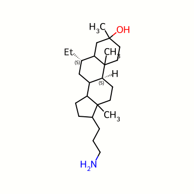 CC[C@H]1CC2C3CCC(CCCN)C3(C)CC[C@@H]2C2(C)CCC(C)(O)CC12